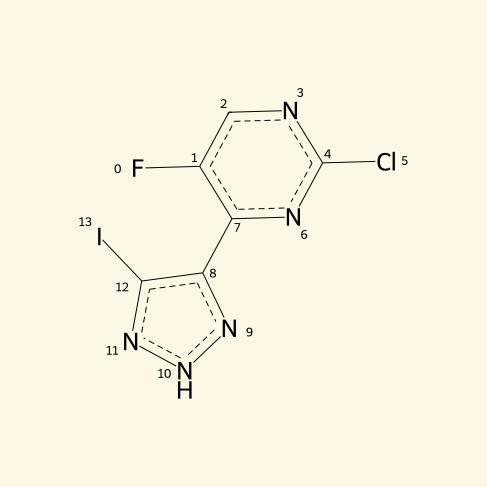 Fc1cnc(Cl)nc1-c1n[nH]nc1I